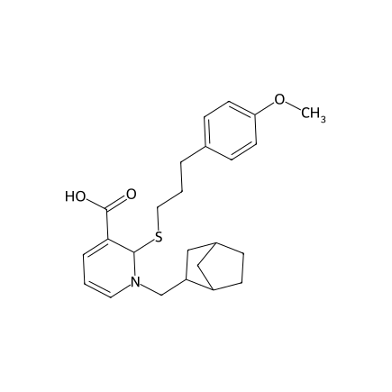 COc1ccc(CCCSC2C(C(=O)O)=CC=CN2CC2CC3CCC2C3)cc1